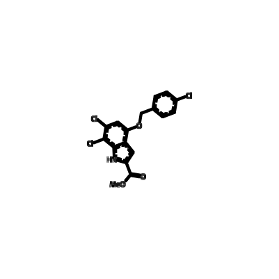 COC(=O)c1cc2c(OCc3ccc(Cl)cc3)cc(Cl)c(Cl)c2[nH]1